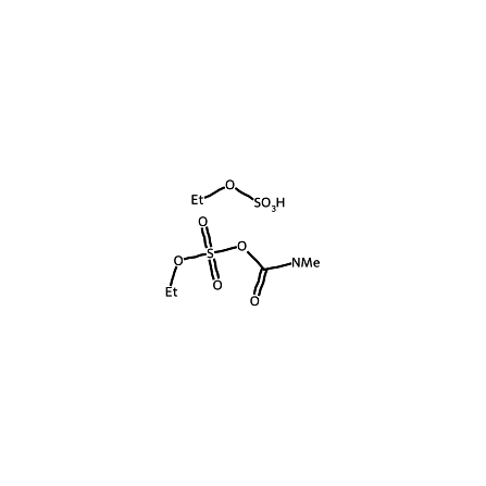 CCOS(=O)(=O)O.CCOS(=O)(=O)OC(=O)NC